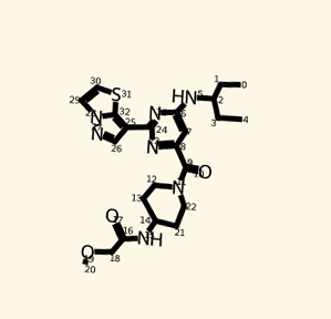 CCC(CC)Nc1cc(C(=O)N2CCC(NC(=O)COC)CC2)nc(-c2cnn3ccsc23)n1